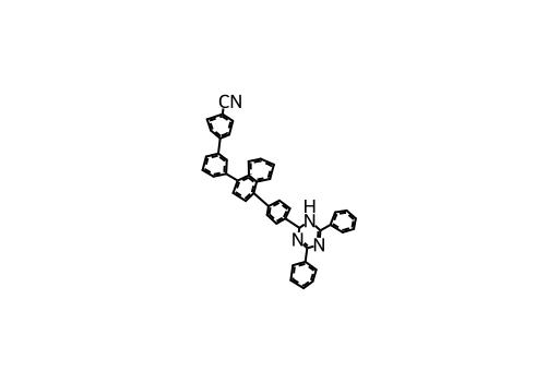 N#Cc1ccc(-c2cccc(-c3ccc(-c4ccc(C5N=C(c6ccccc6)N=C(c6ccccc6)N5)cc4)c4ccccc34)c2)cc1